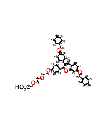 O=C(O)COCCOCCOc1ccc(C(=O)c2c(-c3ccc(OCc4ccccc4)cc3)sc3cc(OCc4ccccc4)ccc23)cc1